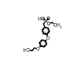 CCOP(=O)(O)Cc1ccc(Oc2ccc(OCCO)cc2)cc1